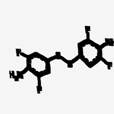 Nc1c(F)cc(SSc2cc(F)c(N)c(F)c2)cc1F